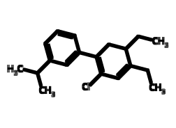 CCC1=CC(Cl)=C(c2cccc(C(C)C)c2)CC1CC